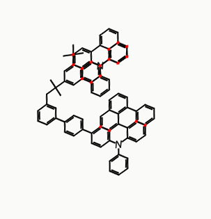 CC(C)(C)c1cc(-c2ccccc2N(c2ccccc2)c2ccccc2-c2cccc3cccc(-c4ccccc4)c23)cc(C(C)(C)Cc2cccc(-c3ccc(-c4ccc(N(c5ccccc5)c5ccccc5-c5cccc6cccc(-c7ccccc7)c56)cc4)cc3)c2)c1